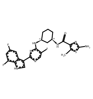 Cc1sc(N)nc1C(=O)N[C@@H]1CCC[C@H](Nc2nc(-c3c[nH]c4c(F)cc(F)cc34)ncc2F)C1